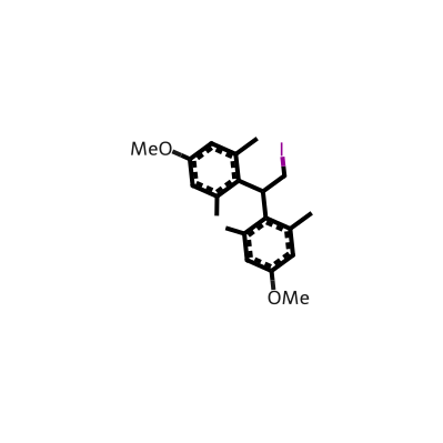 COc1cc(C)c(C(CI)c2c(C)cc(OC)cc2C)c(C)c1